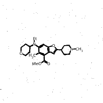 CCN(c1cc2oc(C3CCN(C)CC3)cc2c(C(=O)OC)c1C)C1CCOCC1